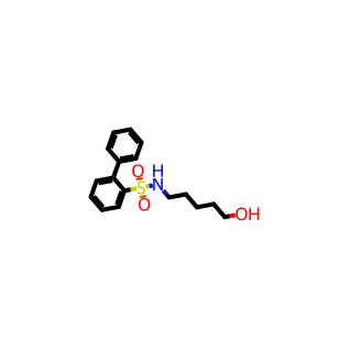 O=S(=O)(NCCCCCO)c1ccccc1-c1ccccc1